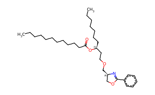 CCCCCCCCCCCC(=O)O[C@@H](CCCCCCC)CCOC[C@@H]1COC(c2ccccc2)=N1